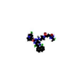 C[C@H](F)c1noc(/C=C/C(=O)N2CC(CN(C)c3nc(OC[C@@]45CCCN4C[C@H](F)C5)nc4c(F)c(-c5cccc6cccc(Cl)c56)ncc34)C2)n1